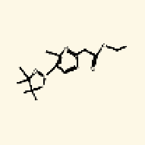 CCOC(=O)Cc1ncc(B2OC(C)(C)C(C)(C)O2)c(C)n1